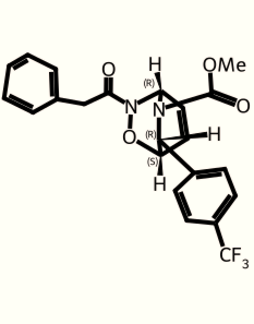 COC(=O)N1[C@H](c2ccc(C(F)(F)F)cc2)[C@@H]2C=C[C@H]1N(C(=O)Cc1ccccc1)O2